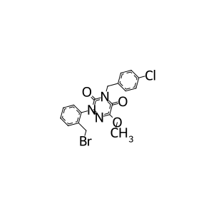 COc1nn(-c2ccccc2CBr)c(=O)n(Cc2ccc(Cl)cc2)c1=O